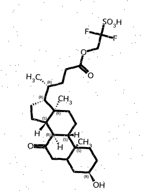 C[C@H](CCC(=O)OCC(F)(F)S(=O)(=O)O)[C@H]1CC[C@H]2[C@@H]3C(=O)CC4C[C@H](O)CC[C@]4(C)[C@H]3CC[C@]12C